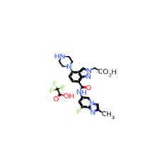 Cc1cn2cc(NC(=O)c3ccc(N4CCNCC4)c4cn(CC(=O)O)nc34)cc(F)c2n1.O=C(O)C(F)(F)F